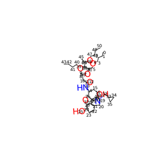 CCCCOC[C@@H](O[C@H](C)CC(=O)NC1CCC2(O)C3Cc4ccc(O)c5c4C2(CCN3CC2CC2)C1O5)[C@@H](OCCCC)[C@@H](C)OCCCC